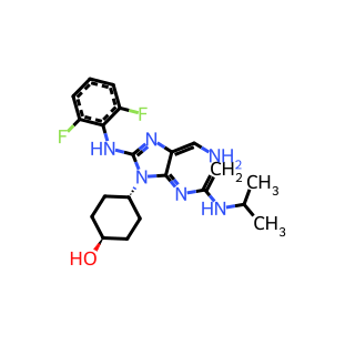 C=C(/N=C1\C(=C/N)N=C(Nc2c(F)cccc2F)N1[C@H]1CC[C@H](O)CC1)NC(C)C